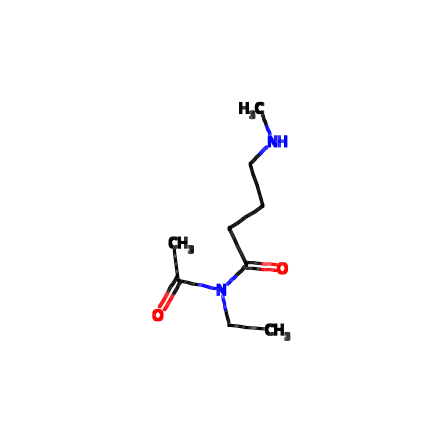 CCN(C(C)=O)C(=O)CCCNC